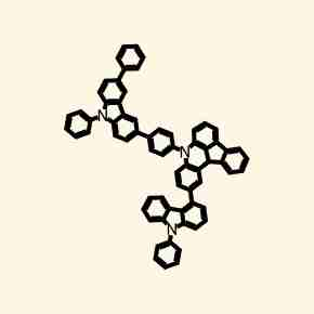 CC12c3ccccc3-c3cccc(c31)N(c1ccc(-c3ccc4c(c3)c3cc(-c5ccccc5)ccc3n4-c3ccccc3)cc1)c1ccc(-c3cccc4c3c3ccccc3n4-c3ccccc3)cc12